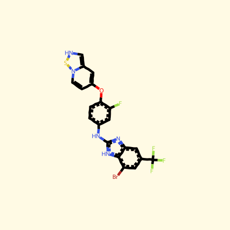 Fc1cc(Nc2nc3cc(C(F)(F)F)cc(Br)c3[nH]2)ccc1OC1=CC2=CNSN2C=C1